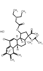 C=C1C(=C)[C@@]2(C)C(=CC1=O)C(Cl)=C[C@@H]1[C@@H]2CC[C@@]2(C)[C@H]1C(OC(=O)CN(CC)CC)C[C@]2(OC(C)=O)C(C)=O.Cl